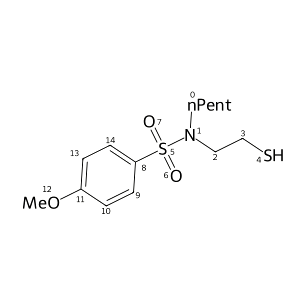 CCCCCN(CCS)S(=O)(=O)c1ccc(OC)cc1